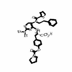 CCN(CC)c1ncc(N(CCc2ccccc2)C(=O)c2cccs2)c(N[C@@H](Cc2ccc(OC(=O)N3CCCC3)cc2)C(=O)O)n1